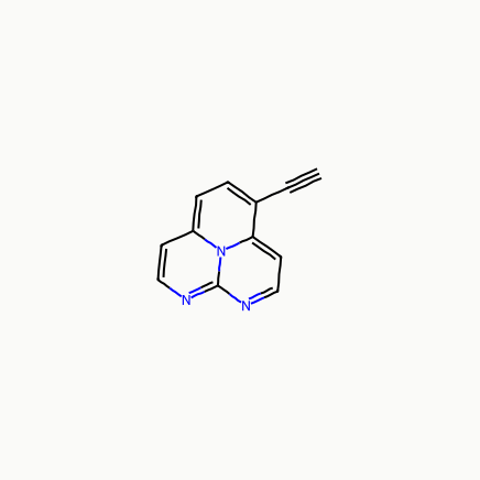 C#CC1=CC=C2C=CN=C3N=CC=C1N23